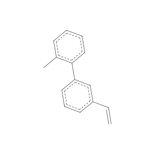 C=Cc1cccc(-c2ccccc2C)c1